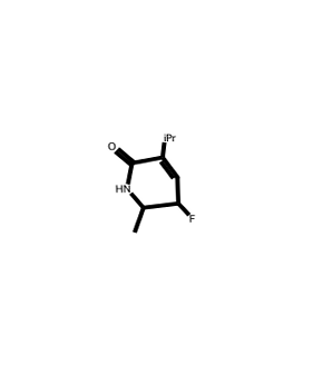 CC(C)C1=CC(F)C(C)NC1=O